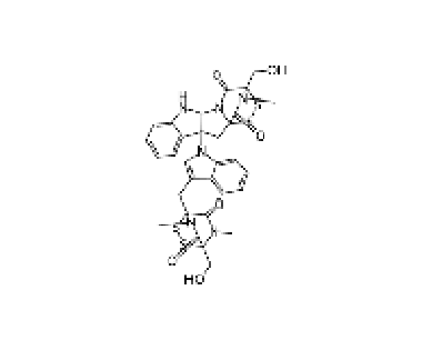 CN1C(=O)C2(Cc3cn(C45CC67SSC(CO)(C(=O)N6C4Nc4ccccc45)N(C)C7=O)c4ccccc34)SSC1(CO)C(=O)N2C